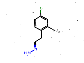 NN=CCc1ccc(Br)cc1[N+](=O)[O-]